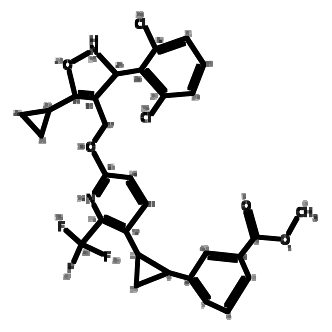 COC(=O)c1cccc(C2CC2c2ccc(OCC3=C(C4CC4)ONC3c3c(Cl)cccc3Cl)nc2C(F)(F)F)c1